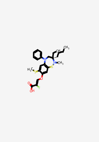 CCCC[C@@]1(CC)CN(c2ccccc2)c2cc(SC)c(O/C=C(\F)C(=O)O)cc2SN1C